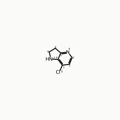 Clc1ccnc2c1NCC2